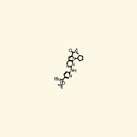 CN(C)C(=O)c1cc2cnc(Nc3ccc(C(O[SiH](C)C)C(C)(C)C)cn3)nc2n1C1CCCC1